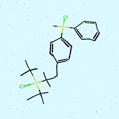 CC(C)(C)S(Cl)(C(C)(C)C)C(C)(C)Cc1ccc(S(C)(Cl)c2ccccc2)cc1